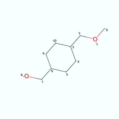 COCC1CCC(C[O])CC1